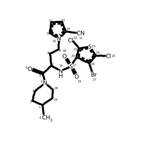 CC1CCN(C(=O)C(CCn2cccc2C#N)NS(=O)(=O)c2c(Cl)sc(Cl)c2Br)CC1